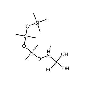 CCC(O)(O)[SiH](C)O[Si](C)(C)O[Si](C)(C)O[Si](C)(C)C